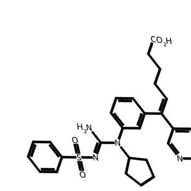 NC(=NS(=O)(=O)c1ccccc1)N(c1cccc(/C(=C\CCCC(=O)O)c2cccnc2)c1)C1CCCC1